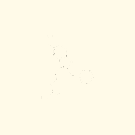 CCc1ccc2oc(Cc3ccccc3)c(CCNC(C)=S)c2c1